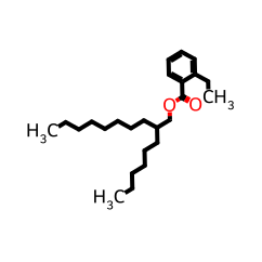 CCCCCCCCC(CCCCCC)COC(=O)c1ccccc1CC